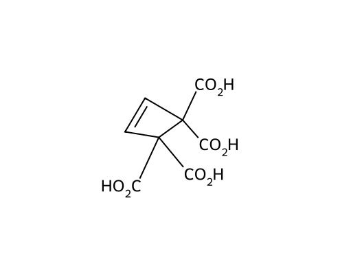 O=C(O)C1(C(=O)O)C=CC1(C(=O)O)C(=O)O